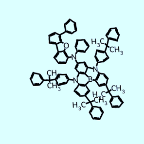 CC(C)(c1ccccc1)c1ccc(N2c3ccc(C(C)(C)c4ccccc4)cc3B3c4cc(C(C)(C)c5ccccc5)ccc4N(c4ccc(C(C)(C)c5ccccc5)cc4)c4cc(N(c5ccccc5)c5cccc6c5oc5c(-c7ccccc7)cccc56)cc2c43)cc1